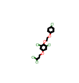 ClC(Cl)=CCOc1cc(Cl)c(OCCOc2ccc(Cl)cc2)c(Cl)c1